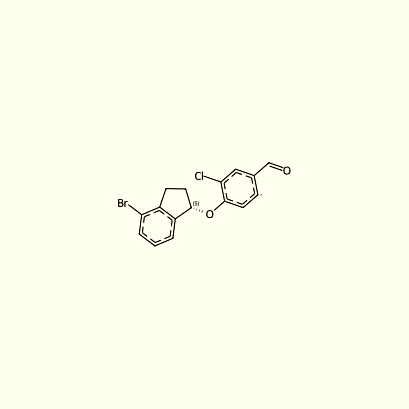 O=Cc1[c]cc(O[C@H]2CCc3c(Br)cccc32)c(Cl)c1